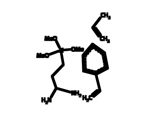 C=CC.C=Cc1ccccc1.CO[Si](CCC(N)N)(OC)OC